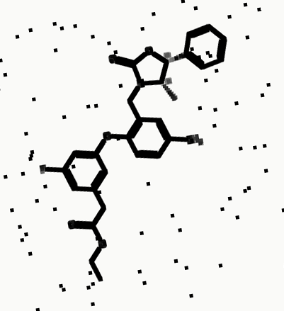 Bc1ccc(Oc2cc(F)cc(CC(=O)OCC)c2)c(CN2C(=O)O[C@H](c3ccccc3)[C@@H]2C)c1